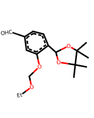 CCOCOc1cc(C=O)ccc1C1OC(C)(C)C(C)(C)O1